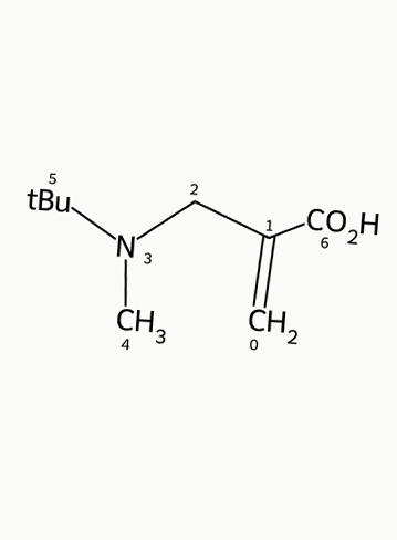 C=C(CN(C)C(C)(C)C)C(=O)O